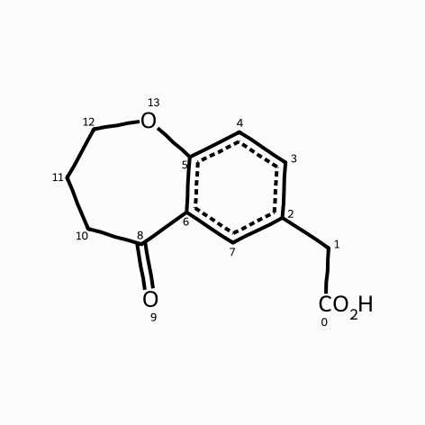 O=C(O)Cc1ccc2c(c1)C(=O)CCCO2